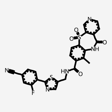 Cc1c(C(=O)NCc2cnc(-c3ccc(C#N)cc3F)s2)ccc2c1NC(=O)c1ccncc1S2(=O)=O